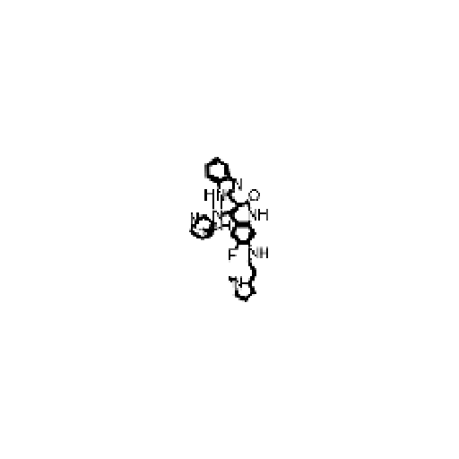 CN1CCCC1CCNc1cc2[nH]c(=O)c(-c3nc4ccccc4[nH]3)c(N[C@H]3CN4CCC3CC4)c2cc1F